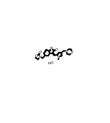 Cl.Cn1cc(CN2CCOCC2)cc1/C=C1\C(=O)N=C2C=CC(CN3CCOC3=O)CC21